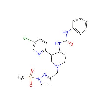 CS(=O)(=O)n1ccc(CN2CCC(NC(=O)Nc3ccccc3)C(c3ccc(Cl)cn3)C2)n1